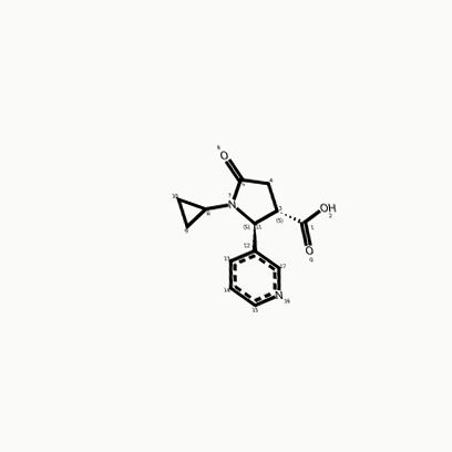 O=C(O)[C@H]1CC(=O)N(C2CC2)[C@@H]1c1cccnc1